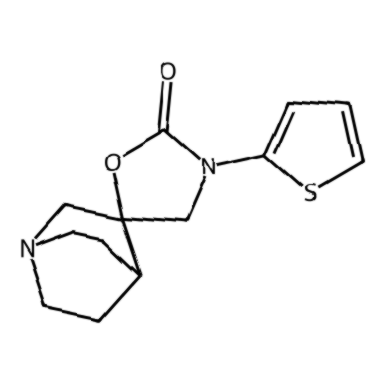 O=C1OC2(CN3CCC2CC3)CN1c1cccs1